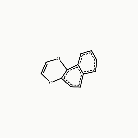 C1=COc2c(ccc3ccccc23)O1